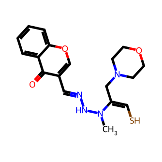 CN(N/N=C/c1coc2ccccc2c1=O)/C(=C\S)CN1CCOCC1